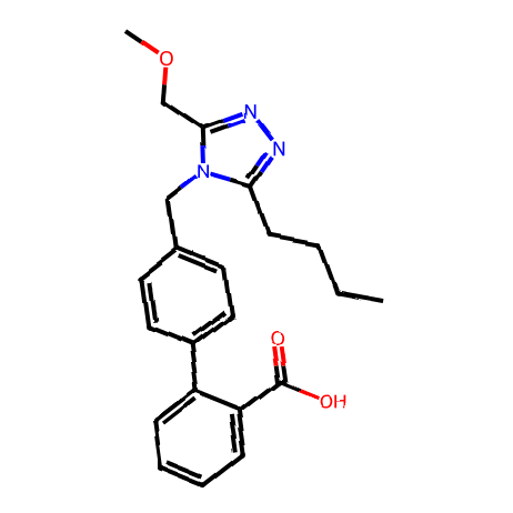 CCCCc1nnc(COC)n1Cc1ccc(-c2ccccc2C(=O)O)cc1